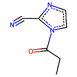 CCC(=O)n1ccnc1C#N